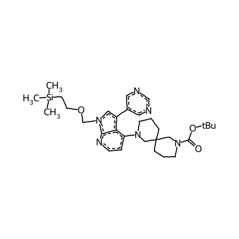 CC(C)(C)OC(=O)N1CCCC2(CCCN(c3ccnc4c3c(-c3cncnc3)cn4COCC[Si](C)(C)C)C2)C1